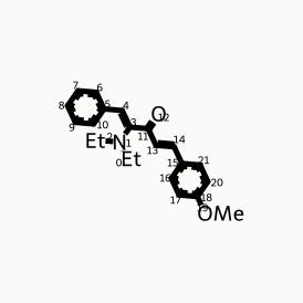 CCN(CC)C(=Cc1ccccc1)C(=O)C=Cc1ccc(OC)cc1